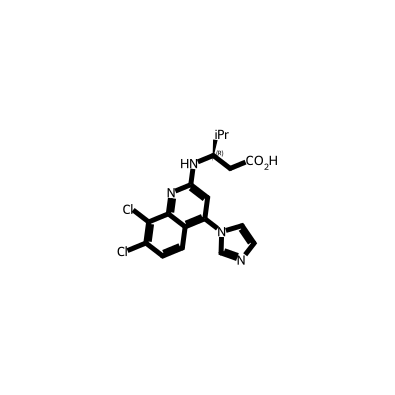 CC(C)[C@@H](CC(=O)O)Nc1cc(-n2ccnc2)c2ccc(Cl)c(Cl)c2n1